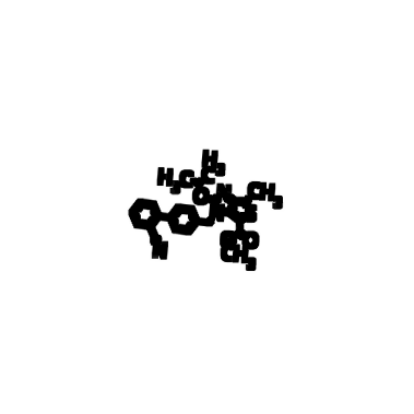 COC(=O)c1sc(C)c2nc(OC(C)C)n(Cc3ccc(-c4ccccc4C#N)cc3)c12